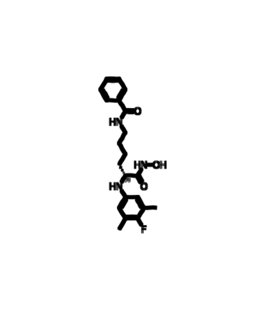 Cc1cc(N[C@H](CCCCNC(=O)c2ccccc2)C(=O)NO)cc(C)c1F